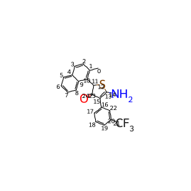 Cc1ccc2ccccc2c1C1SC(N)=C(c2cccc(C(F)(F)F)c2)C1=O